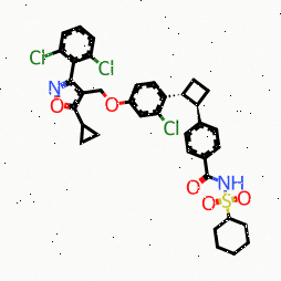 O=C(NS(=O)(=O)C1CCCCC1)c1ccc([C@@H]2CC[C@H]2c2ccc(OCc3c(-c4c(Cl)cccc4Cl)noc3C3CC3)cc2Cl)cc1